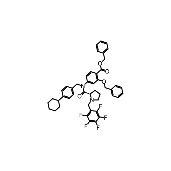 O=C(OCc1ccccc1)c1ccc(N(Cc2ccc(C3CCCCC3)cc2)C(=O)[C@H]2CCCN2Cc2c(F)c(F)c(F)c(F)c2F)cc1OCc1ccccc1